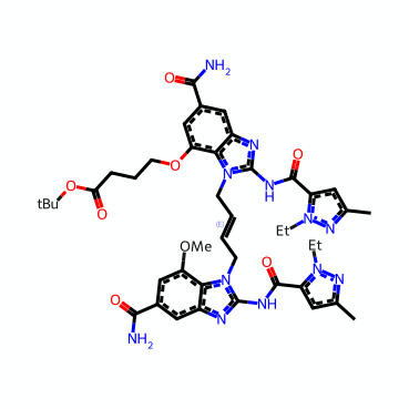 CCn1nc(C)cc1C(=O)Nc1nc2cc(C(N)=O)cc(OC)c2n1C/C=C/Cn1c(NC(=O)c2cc(C)nn2CC)nc2cc(C(N)=O)cc(OCCCC(=O)OC(C)(C)C)c21